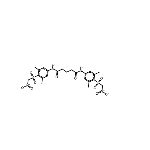 Cc1cc(NC(=O)CCCC(=O)Nc2cc(C)c(S(=O)(=O)C[N+](=O)[O-])c(C)c2)cc(C)c1S(=O)(=O)C[N+](=O)[O-]